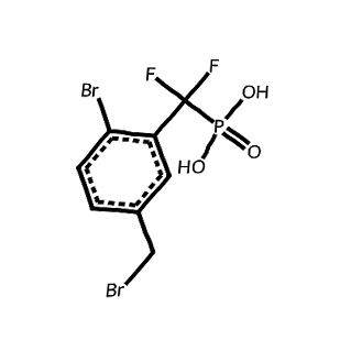 O=P(O)(O)C(F)(F)c1cc(CBr)ccc1Br